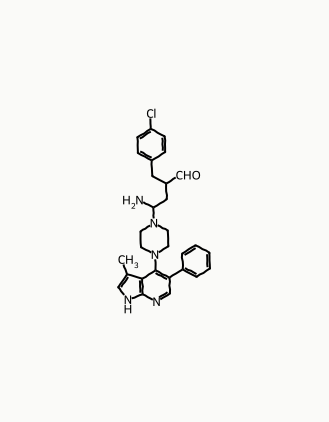 Cc1c[nH]c2ncc(-c3ccccc3)c(N3CCN(C(N)CC(C=O)Cc4ccc(Cl)cc4)CC3)c12